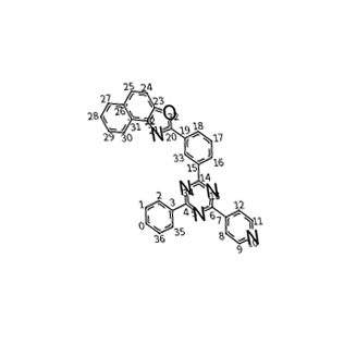 c1ccc(-c2nc(-c3ccncc3)nc(-c3cccc(-c4nc5c(ccc6ccccc65)o4)c3)n2)cc1